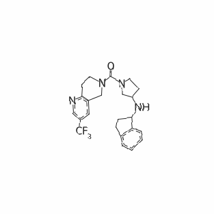 O=C(N1CCc2ncc(C(F)(F)F)cc2C1)N1CCC(NC2CCc3ccccc32)C1